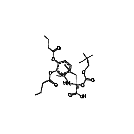 CCCC(=O)Oc1ccc(C[C@](NC(C)CC)(OC(=O)OCC(C)(C)C)C(=O)O)cc1OC(=O)CCC